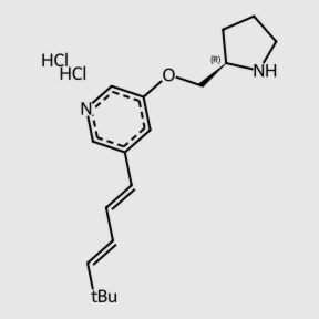 CC(C)(C)C=CC=Cc1cncc(OC[C@H]2CCCN2)c1.Cl.Cl